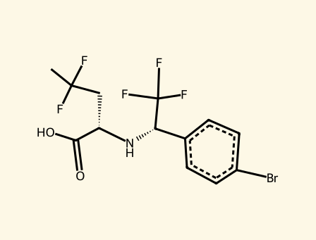 CC(F)(F)C[C@H](N[C@@H](c1ccc(Br)cc1)C(F)(F)F)C(=O)O